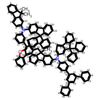 CC1(C)c2ccccc2-c2ccc(N(c3cccc(-c4cc(CC5(C)c6ccccc6-c6ccc(N(c7ccc(-c8cc(-c9ccccc9)cc(-c9ccccc9)c8)cc7)c7ccc8c(c7)C(c7ccccc7)(c7ccccc7)c7ccccc7-8)cc65)cc5c4oc4ccccc45)c3)c3ccc4c(c3)C(c3ccccc3)(c3ccccc3)c3ccccc3-4)cc21